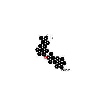 COc1ccc(-c2c(-c3ccccc3)cc(-c3cccc(-c4cc(-c5ccccc5)c(-c5ccc(Oc6ccc(-c7c(-c8ccccc8)cc(-c8cccc(-c9cc(-c%10ccccc%10)c(-c%10ccc(C)cc%10)c(-c%10ccccc%10)c9-c9ccccc9)c8)c(-c8ccccc8)c7-c7ccccc7)cc6)cc5)c(-c5ccccc5)c4-c4ccccc4)c3)c(-c3ccccc3)c2-c2ccccc2)cc1